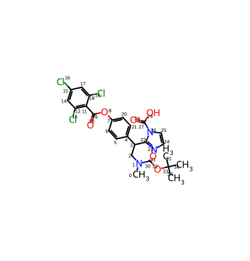 CN(CC(c1ccc(OC(=O)c2c(Cl)cc(Cl)cc2Cl)cc1)c1nccn1C(=O)O)C(=O)OC(C)(C)C